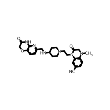 CN1CC(=O)N(CCN2CCC(NCc3ccc4c(n3)NC(=O)CO4)CC2)c2cc(C#N)ccc21